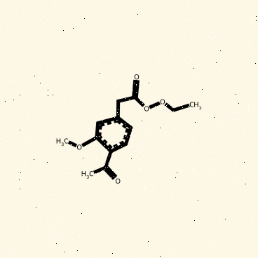 CCOOC(=O)Cc1ccc(C(C)=O)c(OC)c1